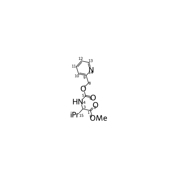 COC(=O)C(NC(=O)OCc1ccccn1)C(C)C